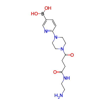 NCCNC(=O)CCC(=O)N1CCN(c2ccc(B(O)O)cn2)CC1